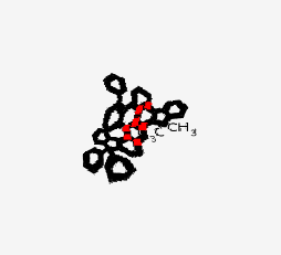 CC1(C)c2ccccc2-c2ccc(N(c3cccc(-c4ccccc4)c3-c3ccccc3-c3ccccc3)c3cccc4c3-c3ccccc3C4(c3ccccc3)c3ccccc3)cc21